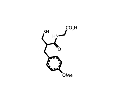 COc1ccc(CC(CS)C(=O)NCC(=O)O)cc1